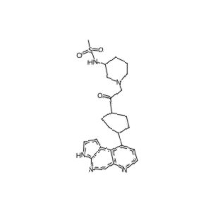 CS(=O)(=O)NC1CCCN(CC(=O)C2CCC(c3ccnc4cnc5[nH]ccc5c34)CC2)C1